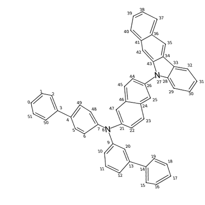 c1ccc(-c2ccc(N(c3cccc(-c4ccccc4)c3)c3ccc4cc(-n5c6ccccc6c6cc7ccccc7cc65)ccc4c3)cc2)cc1